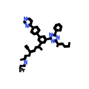 C#C/C(=C\C=C(/C)c1cc(-c2ccc(-c3ccncn3)cc2)cc(-c2nc(/C(C)=C/C=C\C)nc(-c3ccccc3)n2)c1)C/C=C(C)\N=C/CC(C)C